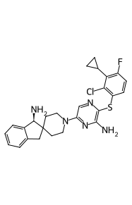 Nc1nc(N2CCC3(CC2)Cc2ccccc2[C@H]3N)cnc1Sc1ccc(F)c(C2CC2)c1Cl